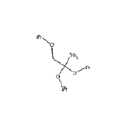 CC(C)OCC([SiH3])(OC(C)C)OC(C)C